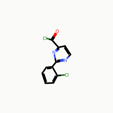 O=C(Cl)c1ccnc(-c2ccccc2Cl)n1